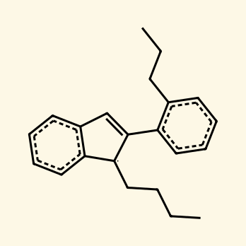 CCCC[C]1C(c2ccccc2CCC)=Cc2ccccc21